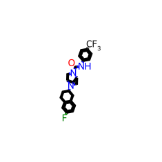 O=C(Nc1ccc(C(F)(F)F)cc1)N1CC2CC1CN2C1CCc2cc(F)ccc2C1